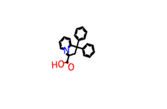 C=C(CC(c1ccccc1)(c1ccccc1)c1ccccn1)C(=O)O